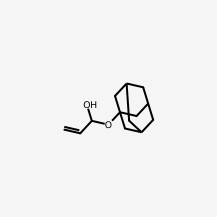 C=CC(O)OC12CC3CC(CC(C3)C1)C2